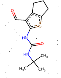 CC(C)(C)NC(=O)Nc1sc2c(c1C=O)CCC2